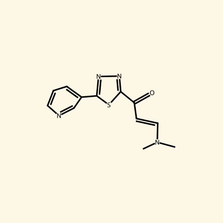 CN(C)C=CC(=O)c1nnc(-c2cccnc2)s1